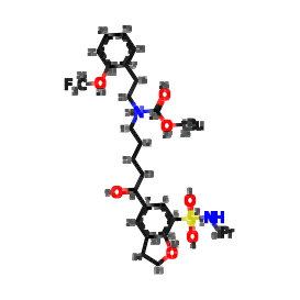 CC(C)NS(=O)(=O)c1cc(C(=O)CCCCN(CCc2ccccc2OC(F)(F)F)C(=O)OC(C)(C)C)cc2c1OCC2